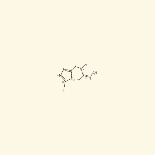 C/C(=N/C#N)N(C)Cc1cnc(I)s1